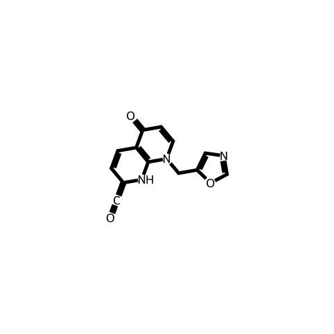 O=C=C1C=Cc2c(n(Cc3cnco3)ccc2=O)N1